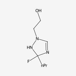 CCCC1(F)N=CN(CCO)N1